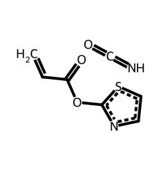 C=CC(=O)Oc1nccs1.N=C=O